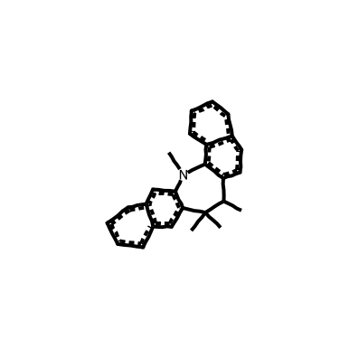 CC1c2ccc3ccccc3c2N(C)c2cc3ccccc3cc2C1(C)C